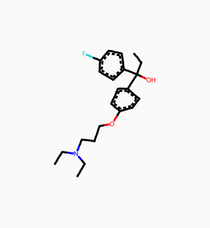 CCN(CC)CCCOc1ccc(C(O)(CC)c2ccc(F)cc2)cc1